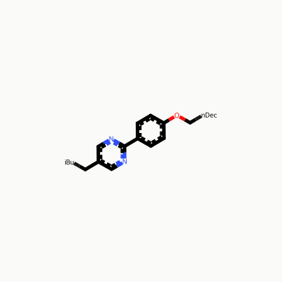 CCCCCCCCCCCOc1ccc(-c2ncc(CC(C)CC)cn2)cc1